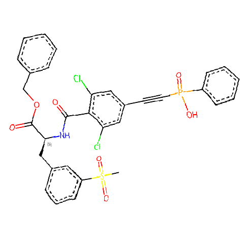 CS(=O)(=O)c1cccc(C[C@H](NC(=O)c2c(Cl)cc(C#CP(=O)(O)c3ccccc3)cc2Cl)C(=O)OCc2ccccc2)c1